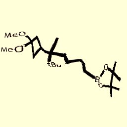 COC1(OC)CC(C(C)(CCCCB2OC(C)(C)C(C)(C)O2)C(C)(C)C)C1